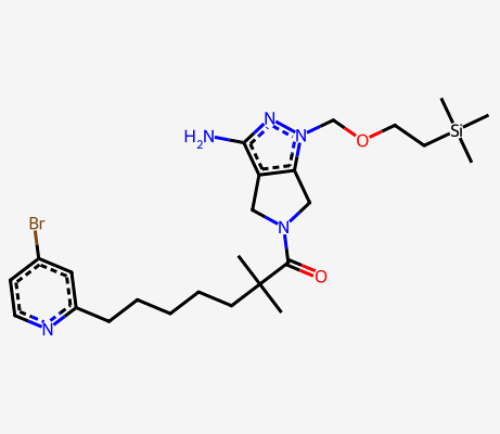 CC(C)(CCCCCc1cc(Br)ccn1)C(=O)N1Cc2c(N)nn(COCC[Si](C)(C)C)c2C1